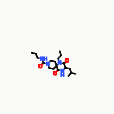 CCCNC(=O)N1CCC2(CC1)C(=O)NC(CC(C)C)C(=O)N2CCC